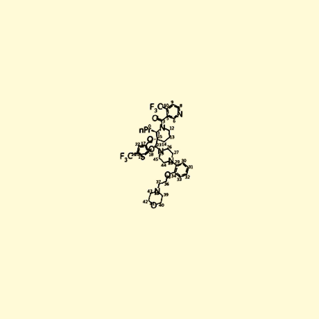 CCC[C@H]1N(C(=O)c2cnccc2C(F)(F)F)CCC[C@@]1(Oc1csc(C(F)(F)F)c1)C(=O)N1CCN(c2ccccc2OCCN2CCOCC2)CC1